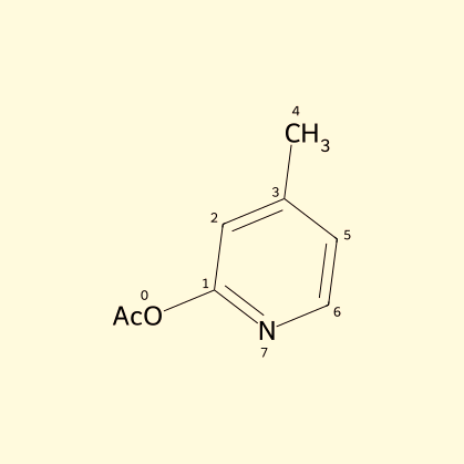 CC(=O)Oc1cc(C)ccn1